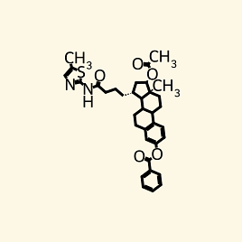 CC(=O)O[C@H]1C[C@@H](CCCC(=O)Nc2ncc(C)s2)C2C3CCc4cc(OC(=O)c5ccccc5)ccc4C3CC[C@@]21C